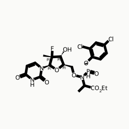 CCOC(=O)C(C)N(OC[C@H]1O[C@@H](n2ccc(=O)[nH]c2=O)[C@](C)(F)[C@@H]1O)[PH](=O)Oc1ccc(Cl)cc1Cl